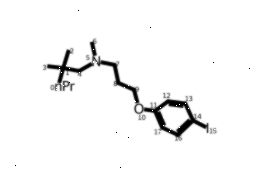 CCCC(C)(C)CN(C)CCCOc1ccc(I)cc1